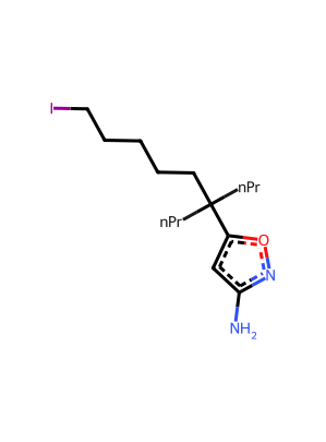 CCCC(CCC)(CCCCCI)c1cc(N)no1